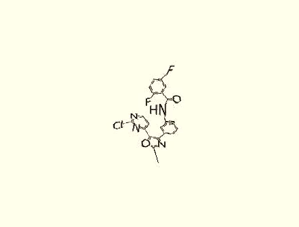 Cc1nc(-c2cccc(NC(=O)c3cc(F)ccc3F)c2)c(-c2ccnc(Cl)n2)o1